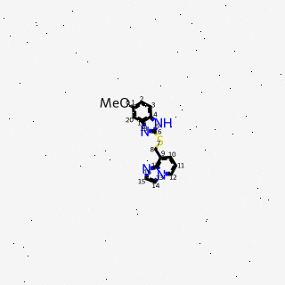 COc1ccc2[nH]c(SCc3cccn4ccnc34)nc2c1